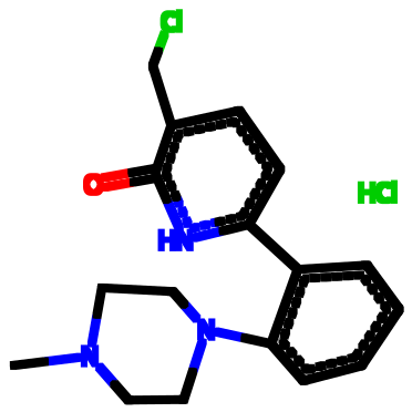 CN1CCN(c2ccccc2-c2ccc(CCl)c(=O)[nH]2)CC1.Cl